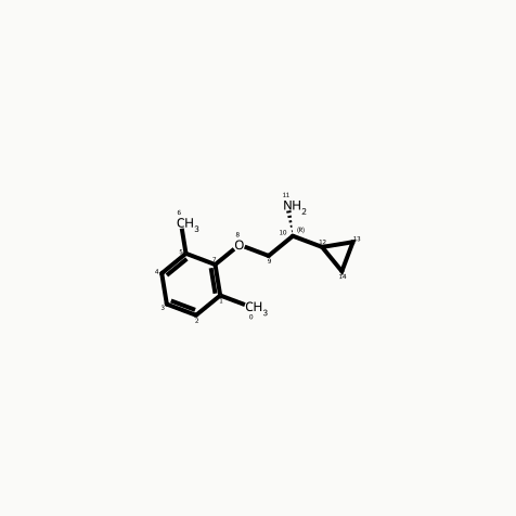 Cc1cccc(C)c1OC[C@H](N)C1CC1